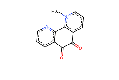 C[n+]1cccc2c1-c1ncccc1C(=O)C2=O